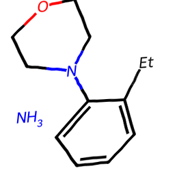 CCc1ccccc1N1CCOCC1.N